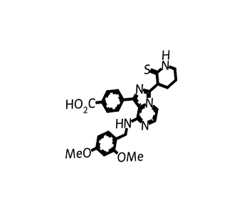 COc1ccc(CNc2nccn3c(C4CCCNC4=S)nc(-c4ccc(C(=O)O)cc4)c23)c(OC)c1